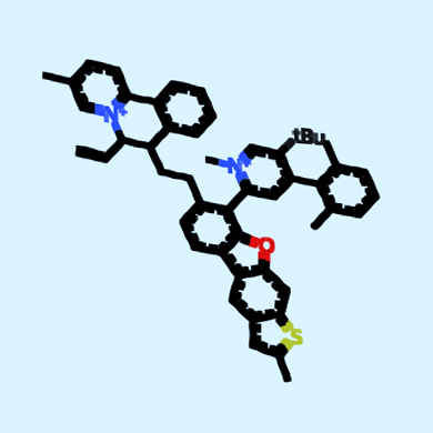 C=CC1C(CCc2ccc3c(oc4cc5sc(C)cc5cc43)c2-c2cc(-c3c(C)cccc3C)c(C(C)(C)C)c[n+]2C)c2ccccc2-c2ccc(C)c[n+]21